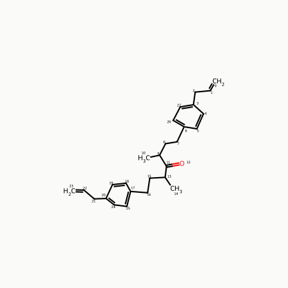 C=CCc1ccc(CCC(C)C(=O)C(C)CCc2ccc(CC=C)cc2)cc1